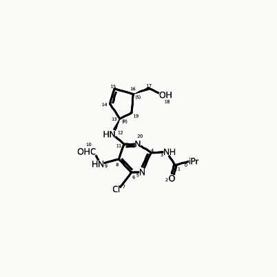 CC(C)C(=O)Nc1nc(Cl)c(NC=O)c(N[C@H]2C=C[C@@H](CO)C2)n1